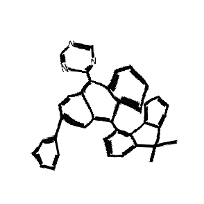 CC1(C)c2ccccc2-c2c(-c3c4ccccc4c(-c4ncncn4)c4ccc(-c5ccccc5)cc34)cccc21